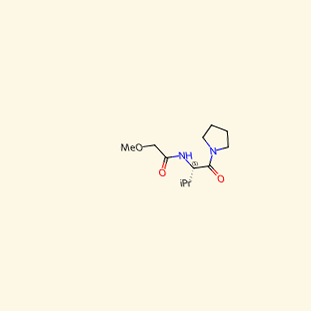 COCC(=O)N[C@H](C(=O)N1CCCC1)C(C)C